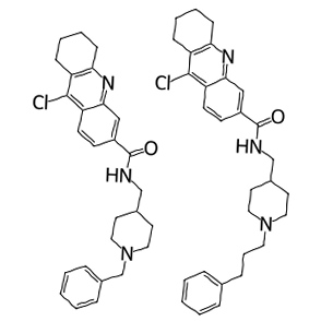 O=C(NCC1CCN(CCCc2ccccc2)CC1)c1ccc2c(Cl)c3c(nc2c1)CCCC3.O=C(NCC1CCN(Cc2ccccc2)CC1)c1ccc2c(Cl)c3c(nc2c1)CCCC3